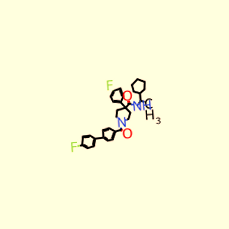 CC(NC(=O)C1(c2ccc(F)cc2)CCN(C(=O)c2ccc(-c3ccc(F)cc3)cc2)CC1)C1CCCCC1